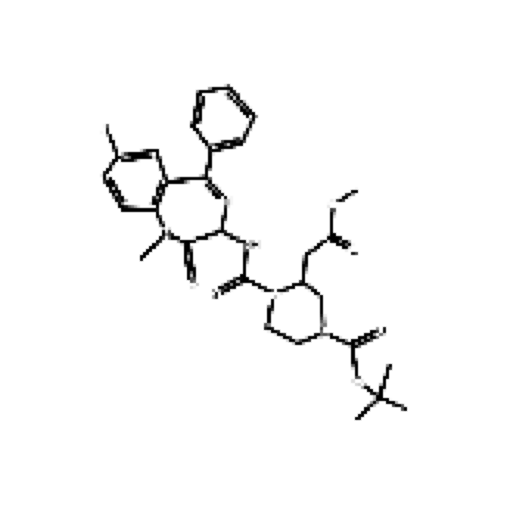 COC(=O)CC1CN(C(=O)OC(C)(C)C)CCN1C(=S)NC1N=C(c2ccccc2)c2cc(Cl)ccc2N(C)C1=O